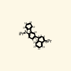 CC(C)c1ccc(-c2ccc3c(c2)c2ccccc2n3C(C)C)c2ccccc12